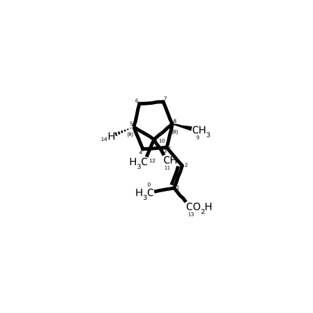 CC(=C[C]1C[C@H]2CC[C@@]1(C)C2(C)C)C(=O)O